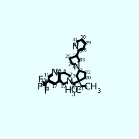 CC(C)[C@]1(C(=O)N2CCc3ncc(C(F)(F)F)cc3C2)CCC(N2CCC(c3ccccn3)C2)C1